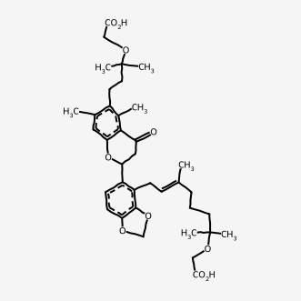 C/C(=C\Cc1c(C2CC(=O)c3c(cc(C)c(CCC(C)(C)OCC(=O)O)c3C)O2)ccc2c1OCO2)CCCC(C)(C)OCC(=O)O